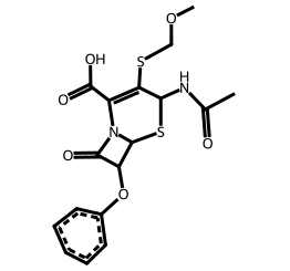 COCSC1=C(C(=O)O)N2C(=O)C(Oc3ccccc3)C2SC1NC(C)=O